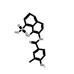 Cc1cc(C(=O)Nc2ccc3cccc(S(=O)(=O)O)c3c2O)ccc1N